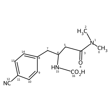 CN(C)C(=O)CC(Cc1ccc(C#N)cc1)NC(=O)O